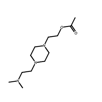 CC(=O)OCCN1CCN(CCN(C)C)CC1